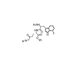 CC(=O)N[C@@H](Cc1c[nH]c2c(F)cccc12)C(=O)N[C@@H](CCC(=O)C=[N+]=[N-])C(=O)OC(C)C